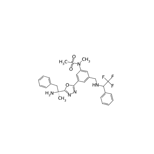 CN(c1cc(CNC(c2ccccc2)C(F)(F)F)cc(-c2nnc([C@@](C)(N)Cc3ccccc3)o2)c1)S(C)(=O)=O